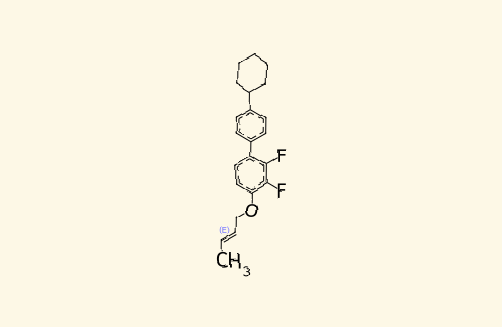 C/C=C/COc1ccc(-c2ccc(C3CCCCC3)cc2)c(F)c1F